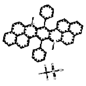 C[n+]1c2ccc3cccc4ccc(c5c(-c6ccccc6)c6c(c(-c7ccccc7)c51)c1ccc5cccc7ccc(c1c57)[n+]6C)c2c43.O=S(=O)(O)C(F)(F)F